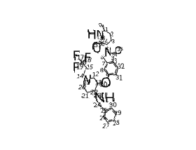 C=C1CCC(N2Cc3cc(OC4CN(CCC(F)(F)F)CCC4NCc4ccccc4)ccc3C2=O)C(=O)N1